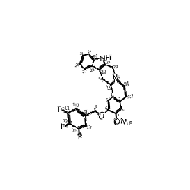 COc1cc2c(cc1OCc1cc(F)c(F)c(F)c1)C1Cc3c([nH]c4ccccc34)CN1CC2